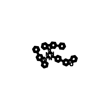 c1ccc(-c2ccc3c4ccccc4n(-c4nc(-c5ccc(-c6ccc7oc8ccccc8c7c6)cc5)nc(-n5c6ccccc6c6ccc(-c7ccccc7)cc65)n4)c3c2)cc1